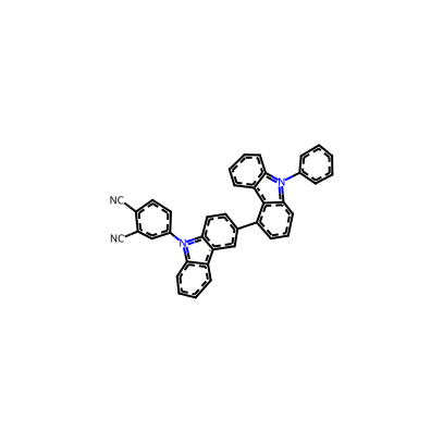 N#Cc1ccc(-n2c3ccccc3c3cc(-c4cccc5c4c4ccccc4n5-c4ccccc4)ccc32)cc1C#N